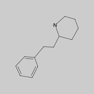 c1ccc(CCC2CCCC[N]2)cc1